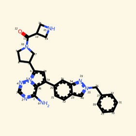 Nc1ncnn2c(C3CCN(C(=O)C4CNC4)C3)cc(-c3ccc4cn(Cc5ccccc5)nc4c3)c12